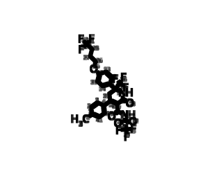 Cc1ccc(C2=C(C(=O)NS(=O)(=O)C(F)(F)F)C(=O)NC(c3ccc(OCCCC(F)(F)F)cc3)(C(F)(F)F)C2)cc1